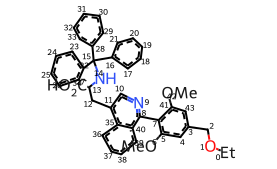 CCOCc1cc(OC)c(-c2ncc(CC(NC(c3ccccc3)(c3ccccc3)c3ccccc3)C(=O)O)c3ccccc23)c(OC)c1